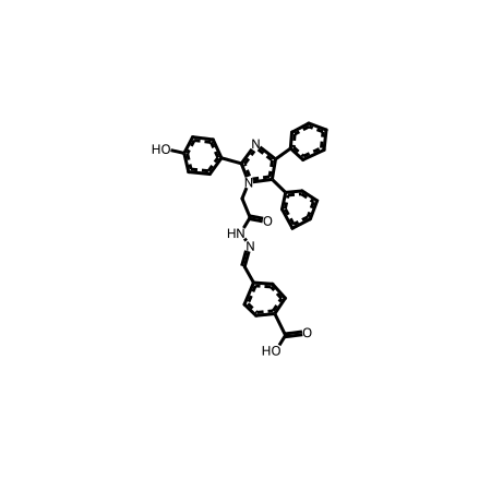 O=C(Cn1c(-c2ccc(O)cc2)nc(-c2ccccc2)c1-c1ccccc1)NN=Cc1ccc(C(=O)O)cc1